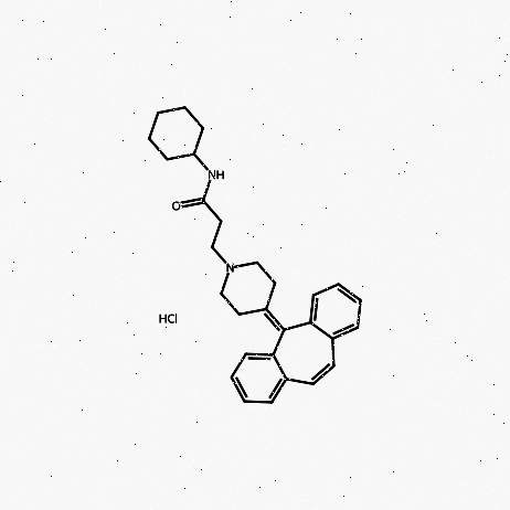 Cl.O=C(CCN1CCC(=C2c3ccccc3C=Cc3ccccc32)CC1)NC1CCCCC1